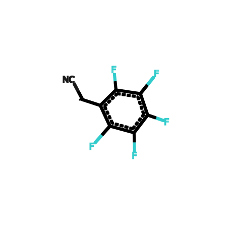 N#C[CH]c1c(F)c(F)c(F)c(F)c1F